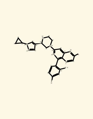 Cc1cnc2c(-c3ccc(F)cc3F)nc(N3CCO[C@H](c4cnn(C5CC5)c4)C3)cc2n1